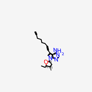 C#CCCCCC#Cc1cn([C@H]2C[C@@H](C)[C@@H](CC)O2)c2ncnc(N)c12